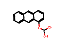 OB(O)Oc1cccc2cc3ccccc3cc12